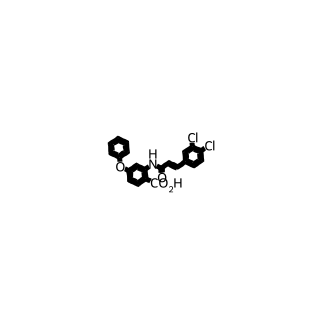 O=C(C=Cc1ccc(Cl)c(Cl)c1)Nc1cc(Oc2ccccc2)ccc1C(=O)O